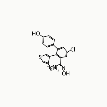 Cc1cscc1-c1c(/C(N)=N/O)cc(Cl)cc1-c1ccc(O)cc1